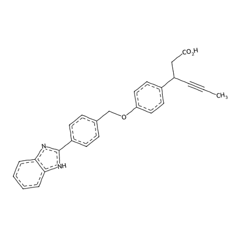 CC#CC(CC(=O)O)c1ccc(OCc2ccc(-c3nc4ccccc4[nH]3)cc2)cc1